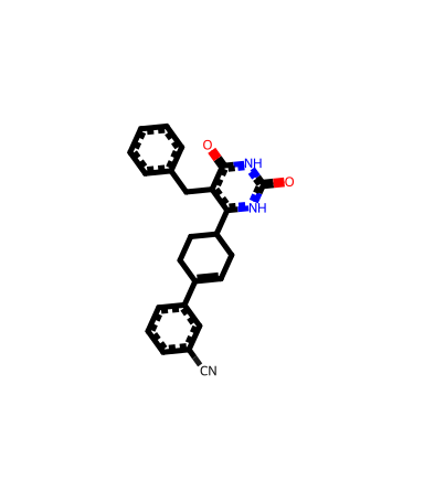 N#Cc1cccc(C2=CCC(c3[nH]c(=O)[nH]c(=O)c3Cc3ccccc3)CC2)c1